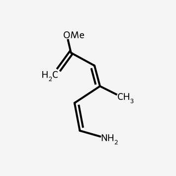 C=C(/C=C(C)\C=C/N)OC